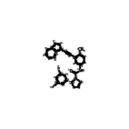 Cc1ccc(NC(=O)N2N=CC[C@@H]2c2cc(F)cc(F)c2)cc1C#Cc1cnc2cccnn12